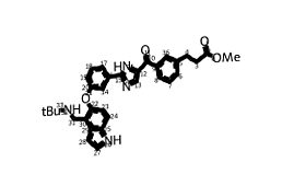 COC(=O)CCc1cccc(C(=O)c2cnc(-c3cccc(Oc4ccc5[nH]ccc5c4CNC(C)(C)C)c3)[nH]2)c1